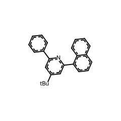 CC(C)(C)c1cc(-c2ccccc2)nc(-c2cccc3ccccc23)c1